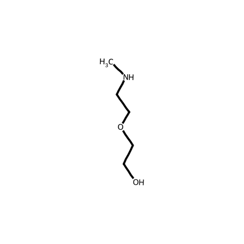 CNCCOCCO